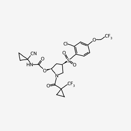 N#CC1(NC(=O)O[C@H]2C[C@@H](S(=O)(=O)c3ccc(OCC(F)(F)F)cc3Cl)CN2C(=O)C2(C(F)(F)F)CC2)CC1